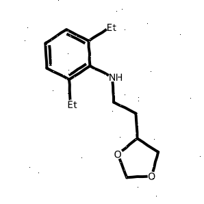 CCc1cccc(CC)c1NCCC1COCO1